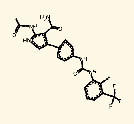 CC(=O)Nc1[nH]cc(-c2ccc(NC(=O)Nc3cccc(C(F)(F)F)c3F)cc2)c1C(N)=O